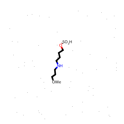 COCCCNCCCCOS(=O)(=O)O